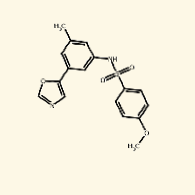 COc1ccc(S(=O)(=O)Nc2cc(C)cc(-c3cnco3)c2)cc1